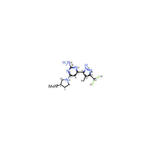 CN[C@@H]1CCN(c2cc(-c3[nH]nc(C(F)F)c3C)nc(N)n2)C1